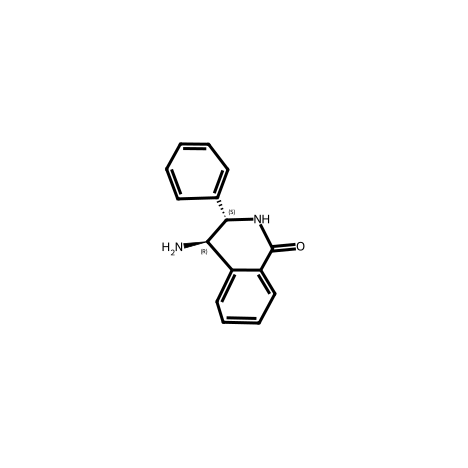 N[C@@H]1c2ccccc2C(=O)N[C@H]1c1ccccc1